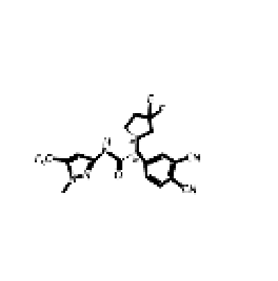 Cn1nc(NC(=O)[C@@H](c2ccc(C#N)c(C#N)c2)[C@@H]2CCC(F)(F)C2)cc1C(F)(F)F